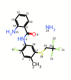 Cc1cc(F)c(NC(=O)c2ccccc2N)cc1SCC(F)(F)F.N